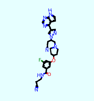 N#CCCNC(=O)c1cc(F)cc(OC2CCN(CC(CC#N)n3cc(-c4ncnc5[nH]ccc45)cn3)CC2)c1